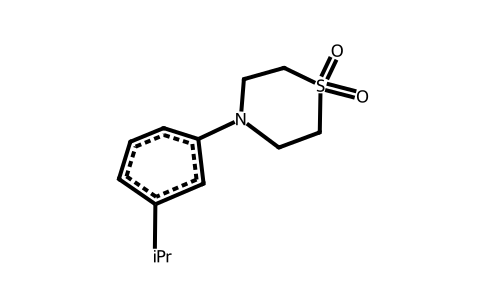 CC(C)c1cccc(N2CCS(=O)(=O)CC2)c1